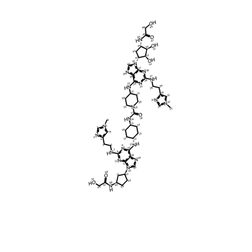 Cn1cnc(CCNc2nc(N[C@H]3CC[C@H](NC(=O)N4CCC(Nc5nc(NCCc6cn(C)cn6)nc6c5ncn6[C@@H]5C[C@H](NC(=O)CO)[C@@H](O)[C@H]5O)CC4)CC3)c3ncn([C@H]4CC[C@@H](NC(=O)CO)C4)c3n2)c1